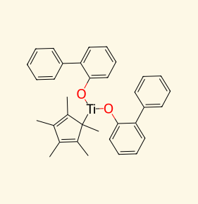 CC1=C(C)[C](C)([Ti]([O]c2ccccc2-c2ccccc2)[O]c2ccccc2-c2ccccc2)C(C)=C1C